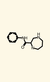 O=C(Nc1ccccc1)C1CNCCC[N]1